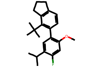 COc1cc(F)c(C(C)C)cc1-c1ccc2c(c1C(C)(C)C)CCC2